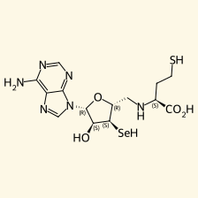 Nc1ncnc2c1ncn2[C@@H]1O[C@H](CN[C@@H](CCS)C(=O)O)[C@@H]([SeH])[C@H]1O